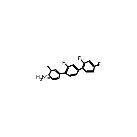 CC1C=C(c2ccc(-c3ccc(F)cc3F)cc2F)C=C[C@@H]1N